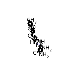 Cc1ccc(S(=O)(=O)n2ccc(C(=O)N3CCC4(CC3)CN/C(=N\C(=O)c3cc(Cl)c(N)cc3N)N4)c2)cc1